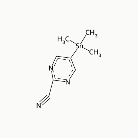 [CH3][Sn]([CH3])([CH3])[c]1cnc(C#N)nc1